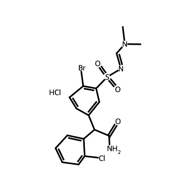 CN(C)C=NS(=O)(=O)c1cc(C(C(N)=O)c2ccccc2Cl)ccc1Br.Cl